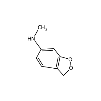 CNc1ccc2c(c1)OOC2